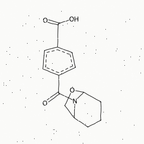 O=C(O)c1ccc(C(=O)N2C3CCCC2OC3)cc1